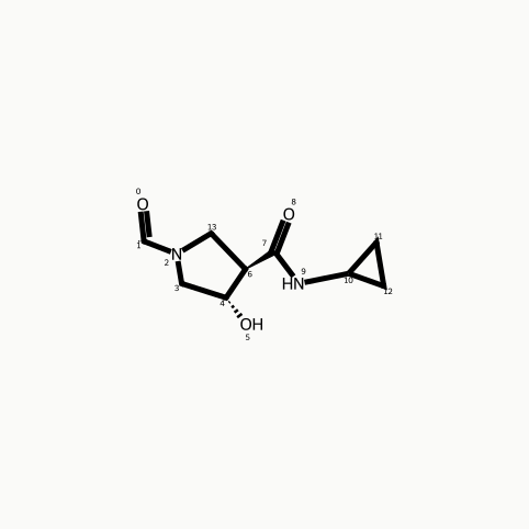 O=[C]N1C[C@@H](O)[C@H](C(=O)NC2CC2)C1